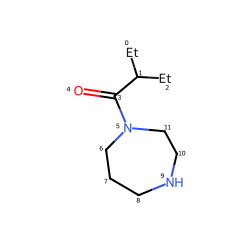 CCC(CC)C(=O)N1CCCNCC1